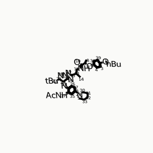 CCCCOc1ccc(OC(C)C(=O)NCC(C)c2nc3n(n2)N=C(C(C)(C)C)/C3=N/c2ccc(N3CCCCC3)cc2NC(C)=O)cc1